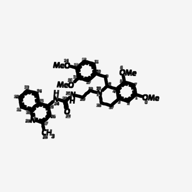 COc1cc2c(c(OC)c1)C(Cc1ccc(OC)c(OC)c1)N(CCNC(=O)Nc1cc(C)nc3ccccc13)CC2